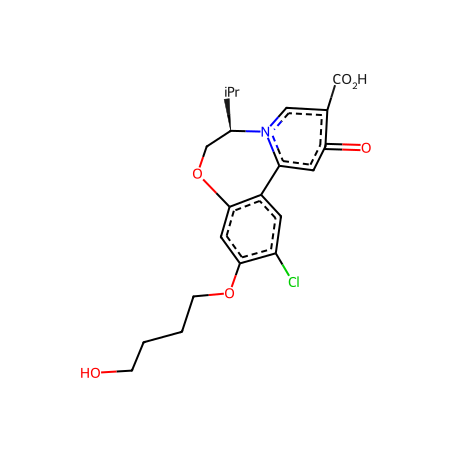 CC(C)[C@@H]1COc2cc(OCCCCO)c(Cl)cc2-c2cc(=O)c(C(=O)O)cn21